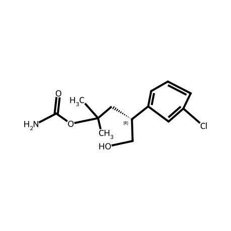 CC(C)(C[C@@H](CO)c1cccc(Cl)c1)OC(N)=O